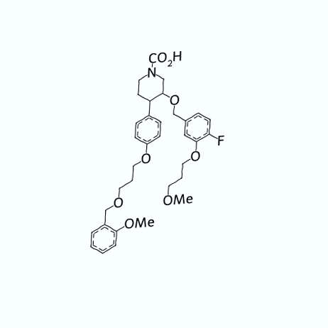 COCCCOc1cc(COC2CN(C(=O)O)CCC2c2ccc(OCCCOCc3ccccc3OC)cc2)ccc1F